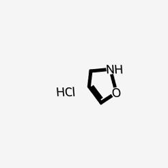 C1=CONC1.Cl